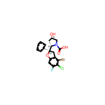 O=C(O)N1C[C@@H](O)C[C@H]1[C@@]1(c2ccccc2)Cc2c(cc(F)c(Cl)c2Br)O1